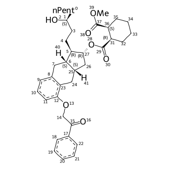 CCCCC[C@H](O)CC[C@@H]1[C@H]2Cc3cccc(OCC(=O)c4ccccc4)c3C[C@H]2C[C@H]1OC(=O)[C@@H]1CCCC[C@@H]1C(=O)OC